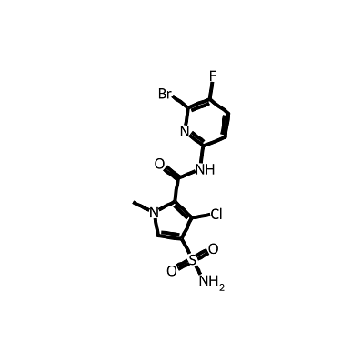 Cn1cc(S(N)(=O)=O)c(Cl)c1C(=O)Nc1ccc(F)c(Br)n1